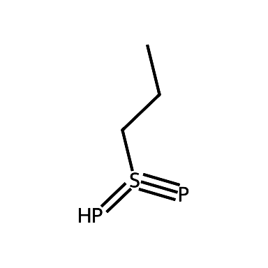 CCCS(#P)=P